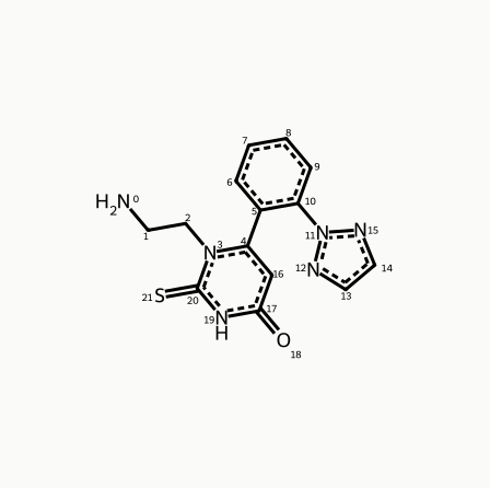 NCCn1c(-c2ccccc2-n2nccn2)cc(=O)[nH]c1=S